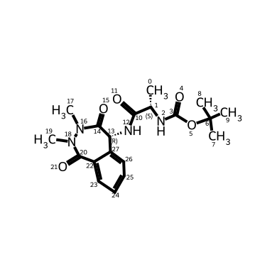 C[C@H](NC(=O)OC(C)(C)C)C(=O)N[C@H]1C(=O)N(C)N(C)C(=O)c2ccccc21